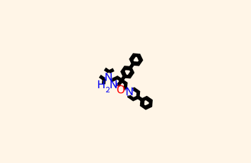 CC(C)N(CCC(CCN1CCC(c2ccccc2)CC1)(C(N)=O)c1ccc(-c2ccccc2)cc1)C(C)C